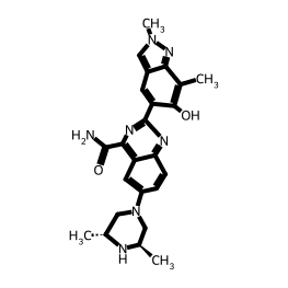 Cc1c(O)c(-c2nc(C(N)=O)c3cc(N4C[C@@H](C)N[C@H](C)C4)ccc3n2)cc2cn(C)nc12